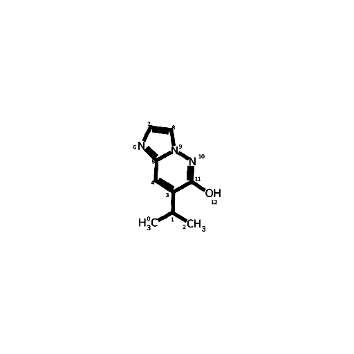 CC(C)c1cc2nccn2nc1O